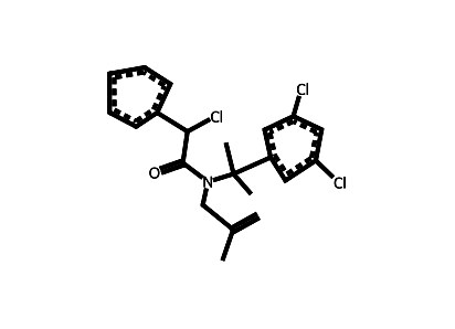 C=C(C)CN(C(=O)C(Cl)c1ccccc1)C(C)(C)c1cc(Cl)cc(Cl)c1